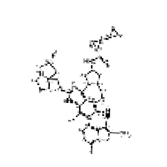 N#Cc1c(N)sc2c(F)ccc(-c3c(Cl)c4c5c(nc(OC[C@@]67CCCN6C[C@H](F)C7)nc5c3F)N3CC(NC(=O)[C@@H]5N[C@H]5C5CC5)CC3CO4)c12